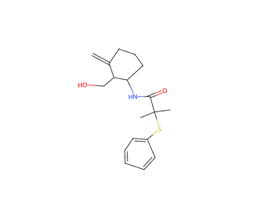 C=C1CCCC(NC(=O)C(C)(C)Sc2ccccc2)C1CO